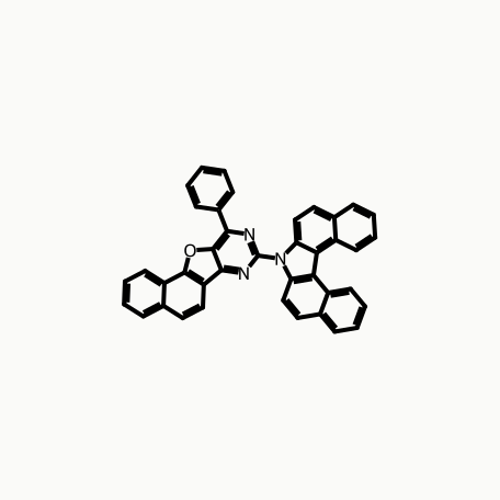 c1ccc(-c2nc(-n3c4ccc5ccccc5c4c4c5ccccc5ccc43)nc3c2oc2c4ccccc4ccc32)cc1